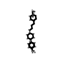 CCC[SiH]1CCC(CCCC[C@H]2CC[C@H](c3ccc(C(F)(F)F)cc3)CC2)CC1